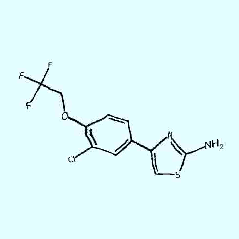 Nc1nc(-c2ccc(OCC(F)(F)F)c(Cl)c2)cs1